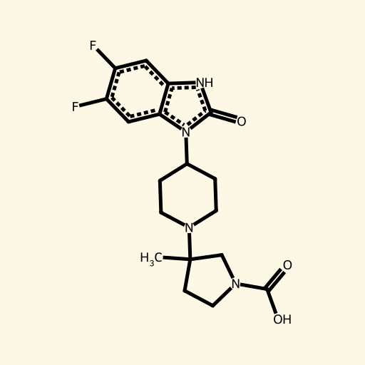 CC1(N2CCC(n3c(=O)[nH]c4cc(F)c(F)cc43)CC2)CCN(C(=O)O)C1